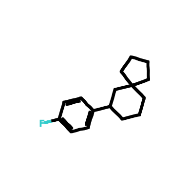 Fc1ccc(C2CCCC3(CCCC3)C2)cc1